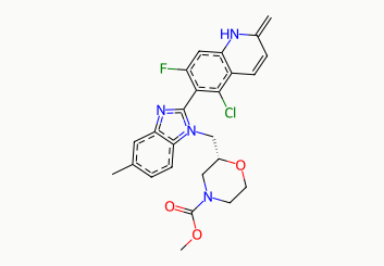 C=C1C=Cc2c(cc(F)c(-c3nc4cc(C)ccc4n3C[C@H]3CN(C(=O)OC)CCO3)c2Cl)N1